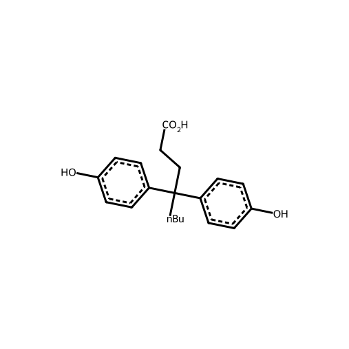 CCCCC(CCC(=O)O)(c1ccc(O)cc1)c1ccc(O)cc1